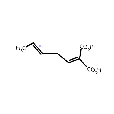 C/C=C/CC=C(C(=O)O)C(=O)O